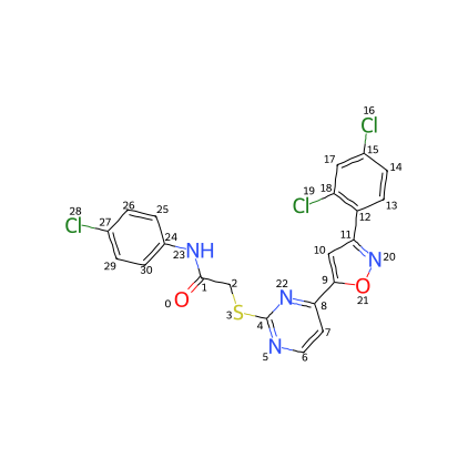 O=C(CSc1nccc(-c2cc(-c3ccc(Cl)cc3Cl)no2)n1)Nc1ccc(Cl)cc1